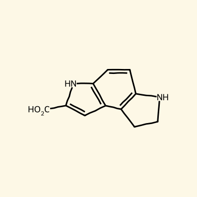 O=C(O)c1cc2c3c(ccc2[nH]1)NCC3